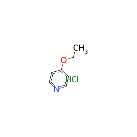 CCOc1ccncc1.Cl